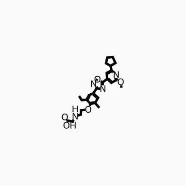 CCc1cc(-c2noc(-c3cc(OC)nc(C4CCCC4)c3)n2)cc(C)c1OCCNCC(=O)O